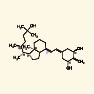 C=C1[C@H](O)CC(=C/C=C2\CCC[C@@]3(C)C2CC[C@@H]3[C@H](C)[C@@H](C)CCC(C)(C)O)C[C@H]1O